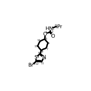 CC(C)NC(=O)OC1CCC(c2ncc(Br)s2)CC1